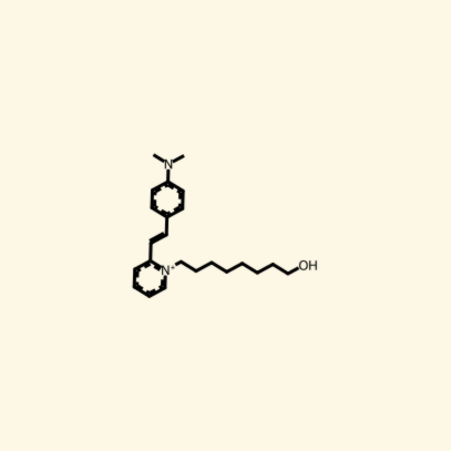 CN(C)c1ccc(/C=C/c2cccc[n+]2CCCCCCCCO)cc1